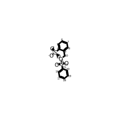 [O]S(=O)(=O)c1ccccc1COS(=O)(=O)c1ccccc1